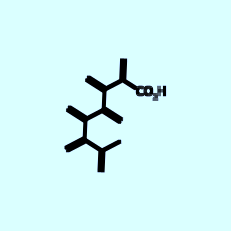 C=C(C)C(=C)C(=C)C(=C)C(=C)C(=C)C(=O)O